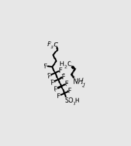 C=CCN.O=S(=O)(O)C(F)(F)C(F)(F)C(F)(F)C(F)(F)C(F)CCCC(F)(F)F